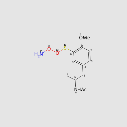 COc1ccc(CC(C)NC(C)=O)cc1SOON